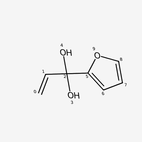 C=CC(O)(O)c1ccco1